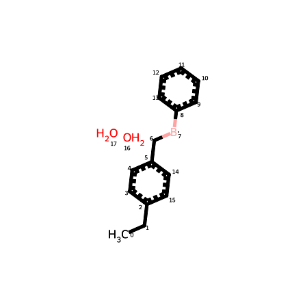 CCc1ccc(C[B]c2ccccc2)cc1.O.O